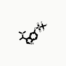 CC(c1c[nH]c2ccc(OS(=O)(=O)C(F)(F)F)cc12)N(C)C